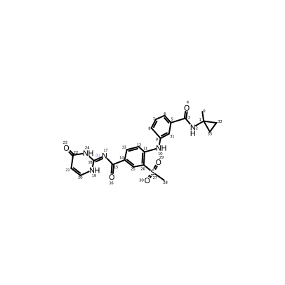 CC1(NC(=O)c2cccc(Nc3ccc(C(=O)/N=c4\[nH]ccc(=O)[nH]4)cc3S(C)(=O)=O)c2)CC1